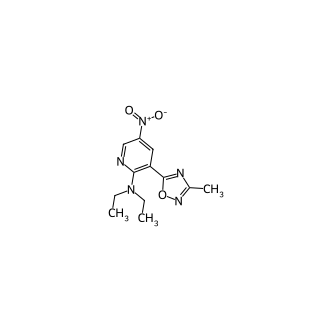 CCN(CC)c1ncc([N+](=O)[O-])cc1-c1nc(C)no1